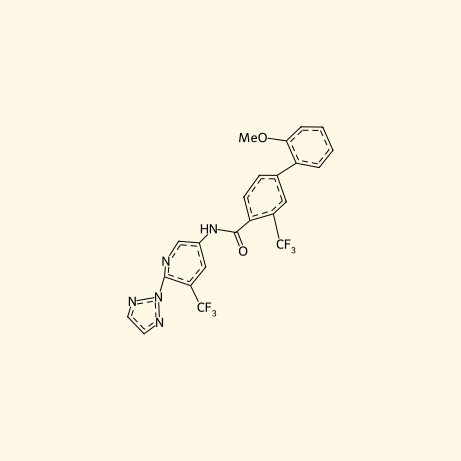 COc1ccccc1-c1ccc(C(=O)Nc2cnc(-n3nccn3)c(C(F)(F)F)c2)c(C(F)(F)F)c1